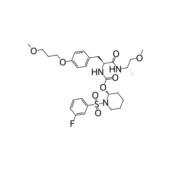 COCCCOc1ccc(C[C@H](NC(=O)O[C@H]2CCCCN2S(=O)(=O)c2cccc(F)c2)C(=O)N[C@@H](C)COC)cc1